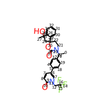 C[C@@H](c1ccc(-c2ccc(=O)n(CC(F)(F)F)c2)cc1)N1CCC(CC(C)(C)O)(c2ccccc2)OC1=O